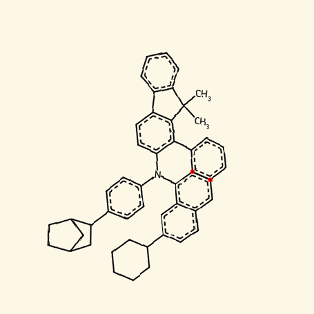 CC1(C)c2ccccc2-c2ccc(N(c3ccc(C4CC5CCC4C5)cc3)c3cccc4ccc(C5CCCCC5)cc34)c(-c3ccccc3)c21